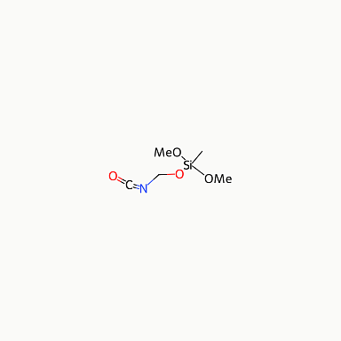 CO[Si](C)(OC)OCN=C=O